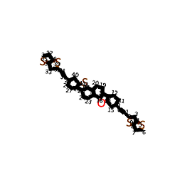 C(#Cc1cc2sccc2s1)c1ccc2c(c1)oc1c2ccc2c1ccc1c3ccc(C#Cc4cc5sccc5s4)cc3sc12